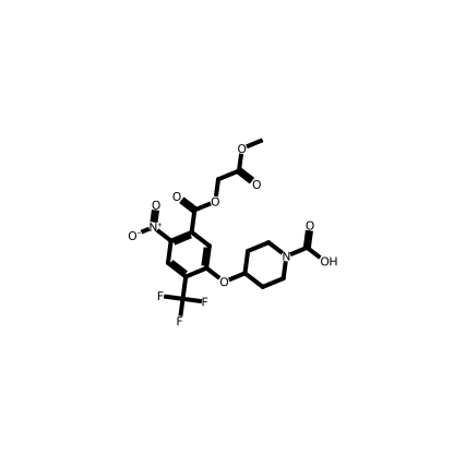 COC(=O)COC(=O)c1cc(OC2CCN(C(=O)O)CC2)c(C(F)(F)F)cc1[N+](=O)[O-]